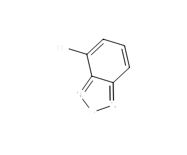 Sc1cccc2nonc12